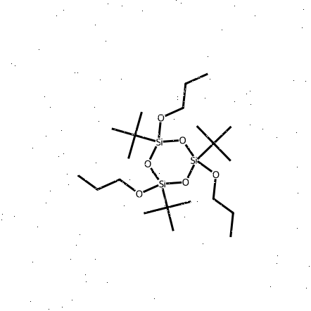 CCCO[Si]1(C(C)(C)C)O[Si](OCCC)(C(C)(C)C)O[Si](OCCC)(C(C)(C)C)O1